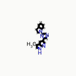 Cc1c[nH]c2ncc(-c3cncc(N4CCc5ccccc54)n3)cc12